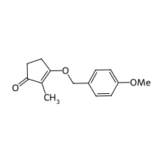 COc1ccc(COC2=C(C)C(=O)CC2)cc1